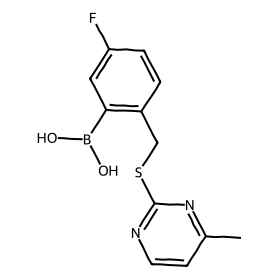 Cc1ccnc(SCc2ccc(F)cc2B(O)O)n1